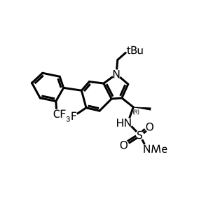 CNS(=O)(=O)N[C@H](C)c1cn(CC(C)(C)C)c2cc(-c3ccccc3C(F)(F)F)c(F)cc12